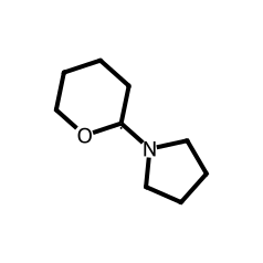 C1CC[C](N2CCCC2)OC1